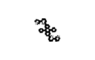 c1ccc(-c2c3ccc(-c4cccc(-c5cccnc5)n4)cc3c(-c3ccccc3)c3ccc(-c4cccc(-c5cccnc5)n4)cc23)cc1